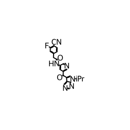 CC(C)n1cc(C(=O)c2cncc(NC(=O)Cc3ccc(C#N)c(F)c3)c2)c2cncnc21